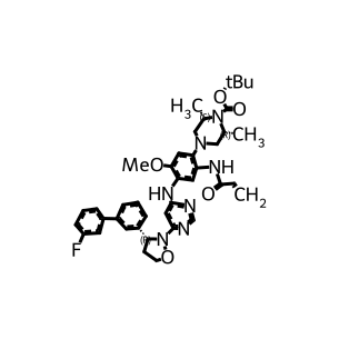 C=CC(=O)Nc1cc(Nc2cc(N3OCC[C@@H]3c3cccc(-c4cccc(F)c4)c3)ncn2)c(OC)cc1N1C[C@@H](C)N(C(=O)OC(C)(C)C)[C@@H](C)C1